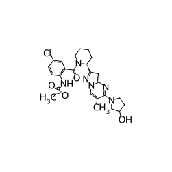 Cc1cn2nc([C@@H]3CCCCN3C(=O)c3cc(Cl)ccc3NS(C)(=O)=O)cc2nc1N1CC[C@@H](O)C1